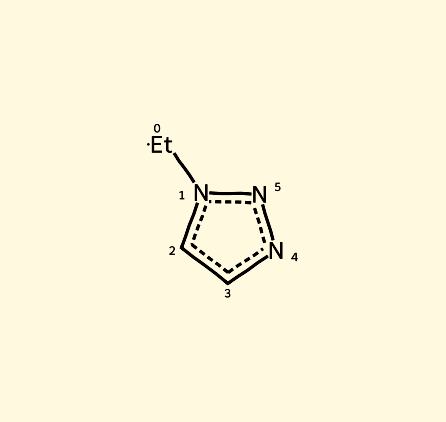 C[CH]n1ccnn1